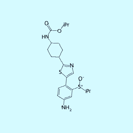 CC(C)OC(=O)NC1CCC(c2ncc(-c3ccc(N)cc3[S+]([O-])C(C)C)s2)CC1